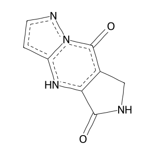 O=C1NCc2c1[nH]c1ccnn1c2=O